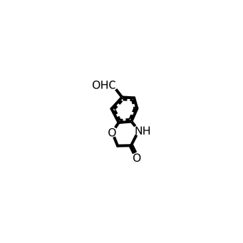 O=Cc1ccc2c(c1)OCC(=O)N2